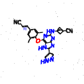 Cc1cc(/C=C/C#N)cc(C)c1Oc1nc(NC23CC(C#N)(C2)C3)nc2nc(-c3cn[nH]c3)[nH]c12